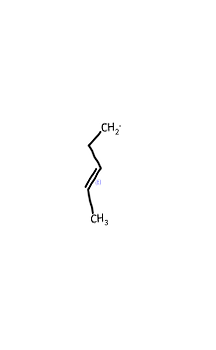 [CH2]C/C=C/C